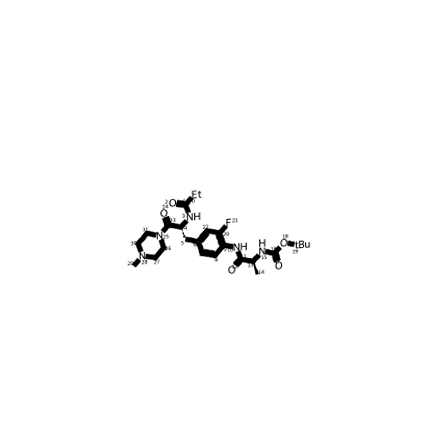 CCC(=O)N[C@H](Cc1ccc(NC(=O)[C@H](C)NC(=O)OC(C)(C)C)c(F)c1)C(=O)N1CCN(C)CC1